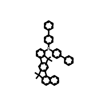 CC1(C)c2cc3c(cc2-c2c1ccc1ccccc21)C(C)(C)c1c-3cccc1N(c1ccc(-c2ccccc2)cc1)c1ccc(-c2ccccc2)cc1